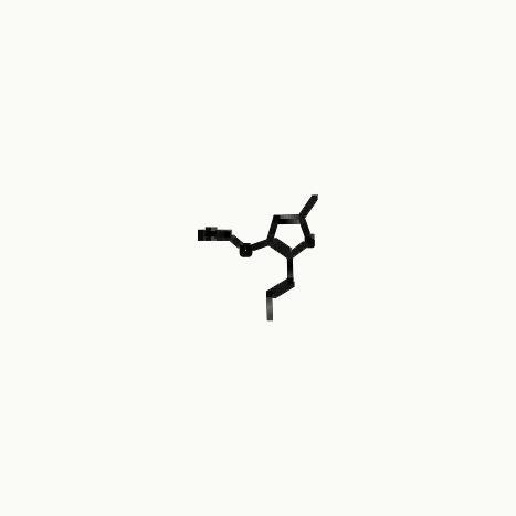 CC=Cc1sc(C)cc1OCCCCCC